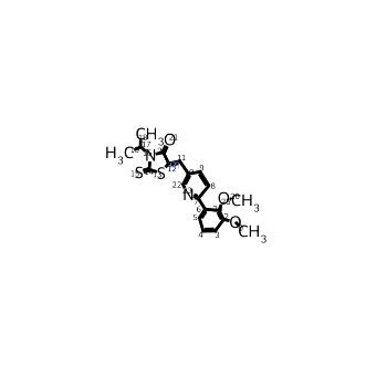 COc1cccc(-c2ccc(/C=C3\SC(=S)N(C(C)C)C3=O)cn2)c1OC